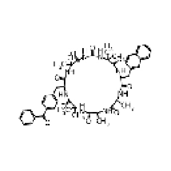 CC1NC(=O)[C@H](C)NC(=O)C(Cc2ccc3ccccc3c2)NC(=O)C(C)(C)NC(=O)NC(=O)C(C)(C)NC(=O)C(Cc2ccc(C(=O)c3ccccc3)cc2)NC(=O)C(C)(C)NC1=O